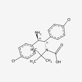 CC(C)(C)N(C(=O)O)[C@@H](c1ccc(Cl)cc1)[C@H](N)c1ccc(Cl)cc1